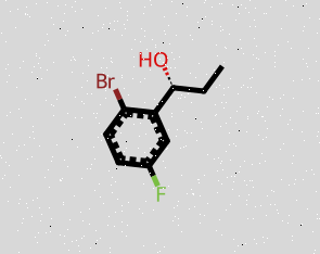 CC[C@@H](O)c1cc(F)ccc1Br